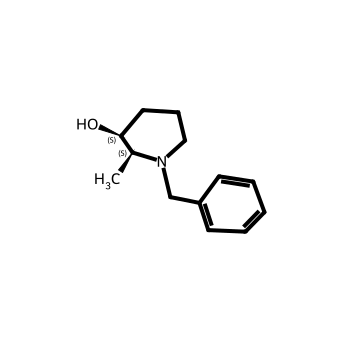 C[C@H]1[C@@H](O)CCCN1Cc1ccccc1